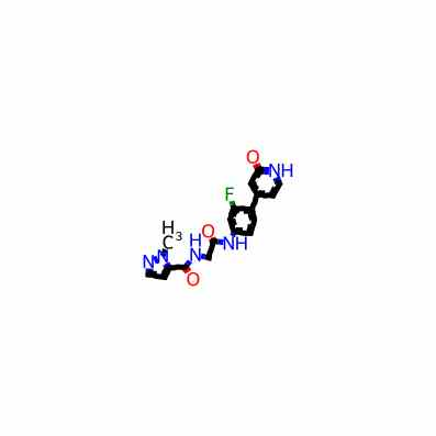 Cn1nccc1C(=O)NCC(=O)Nc1ccc(-c2cc[nH]c(=O)c2)c(F)c1